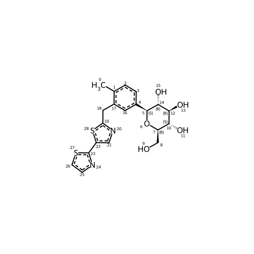 Cc1ccc([C@@H]2O[C@H](CO)[C@@H](O)[C@H](O)[C@H]2O)cc1Cc1ncc(-c2nccs2)s1